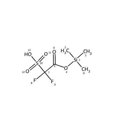 C[Si](C)(C)OC(=O)C(F)(F)S(=O)(=O)O